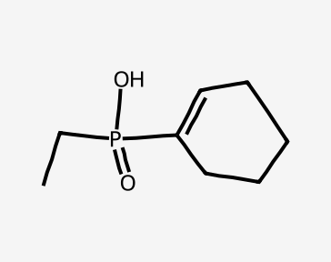 CCP(=O)(O)C1=CCCCC1